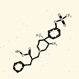 C[C@H]1CN(CC(Cc2ccccc2)C(=O)OC(C)(C)C)CC[C@@]1(C)c1cccc(OS(=O)(=O)C(F)(F)F)c1